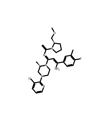 C=C(/N=C(\C=C(/N)c1ccc(F)c(C)c1)N1CCN(c2ncccc2Cl)C[C@H]1C)N1CCC[C@@H]1COC